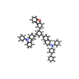 c1ccc(-c2ccc(N(c3ccccc3)c3ccc4cc(-c5cc(-c6ccc7oc8ccccc8c7c6)cc(-c6ccc7c(c6)c6ccccc6n7-c6ccccc6)c5)ccc4c3)cc2)cc1